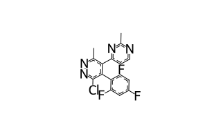 Cc1nccc(-c2c(C)nnc(Cl)c2-c2c(F)cc(F)cc2F)n1